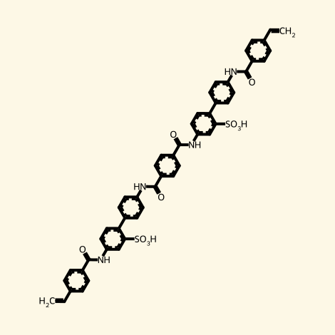 C=Cc1ccc(C(=O)Nc2ccc(-c3ccc(NC(=O)c4ccc(C(=O)Nc5ccc(-c6ccc(NC(=O)c7ccc(C=C)cc7)cc6S(=O)(=O)O)cc5)cc4)cc3S(=O)(=O)O)cc2)cc1